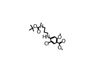 COC(=O)c1cc(Cl)c(NCCCN(C)C(=O)OC(C)(C)C)cc1OC